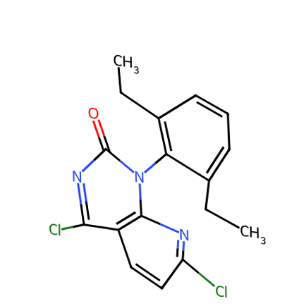 CCc1cccc(CC)c1-n1c(=O)nc(Cl)c2ccc(Cl)nc21